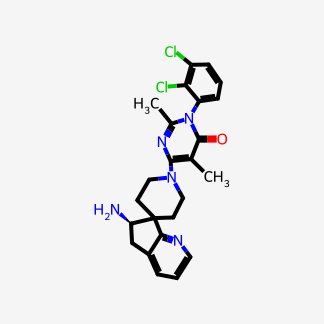 Cc1c(N2CCC3(CC2)c2ncccc2C[C@H]3N)nc(C)n(-c2cccc(Cl)c2Cl)c1=O